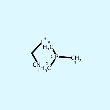 CP(C)C.N#CCI